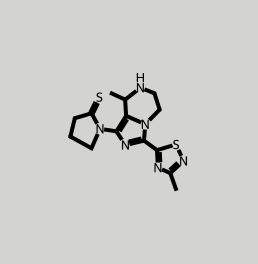 Cc1nsc(-c2nc(N3CCCC3=S)c3n2CCNC3C)n1